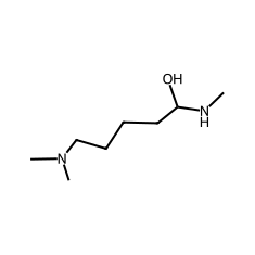 CNC(O)CCCCN(C)C